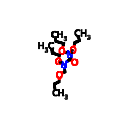 CCCOCN(OCCC)C(=O)N(OCCC)OCCC